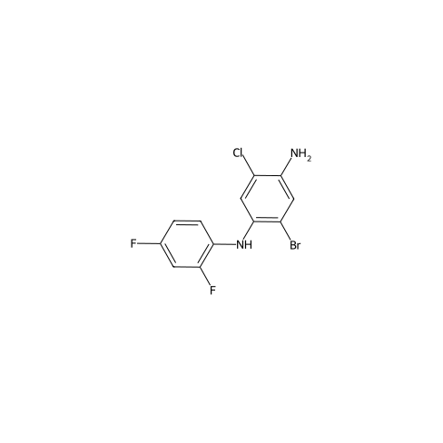 Nc1cc(Br)c(Nc2ccc(F)cc2F)cc1Cl